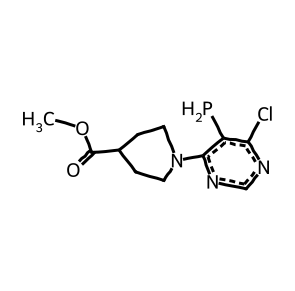 COC(=O)C1CCN(c2ncnc(Cl)c2P)CC1